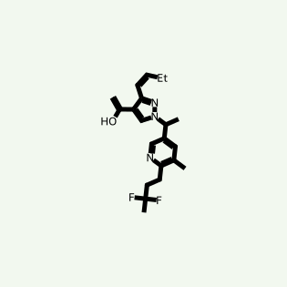 C=C(O)c1cn(C(C)c2cnc(CCC(C)(F)F)c(C)c2)nc1/C=C\CC